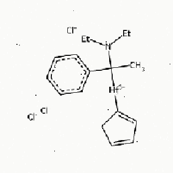 CCN(CC)[C](C)([Hf+3][C]1=CC=CC1)c1ccccc1.[Cl-].[Cl-].[Cl-]